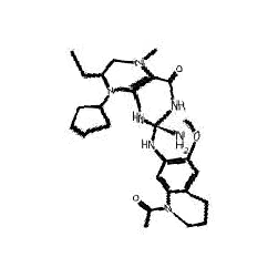 CCC1CN(C)C2=C(N[C@@](N)(Nc3cc4c(cc3OC)CCCN4C(C)=O)NC2=O)N1C1CCCC1